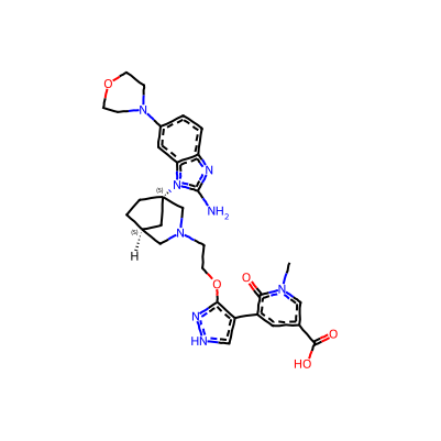 Cn1cc(C(=O)O)cc(-c2c[nH]nc2OCCN2C[C@H]3CC[C@](n4c(N)nc5ccc(N6CCOCC6)cc54)(C3)C2)c1=O